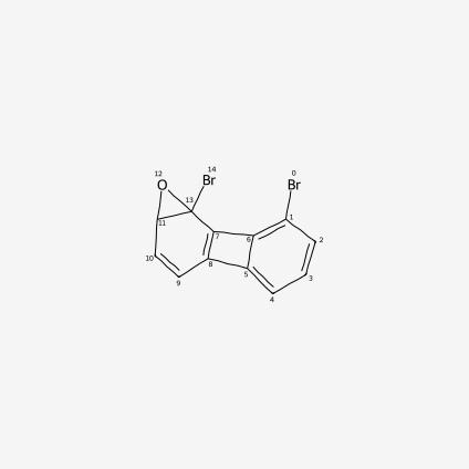 Brc1cccc2c1C1=C2C=CC2OC12Br